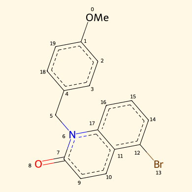 COc1ccc(Cn2c(=O)ccc3c(Br)cccc32)cc1